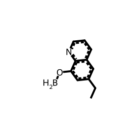 BOc1cc(CC)cc2cccnc12